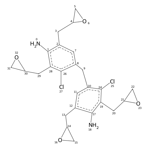 Nc1c(CC2CO2)cc(Cc2cc(CC3CO3)c(N)c(CC3CO3)c2Cl)c(Cl)c1CC1CO1